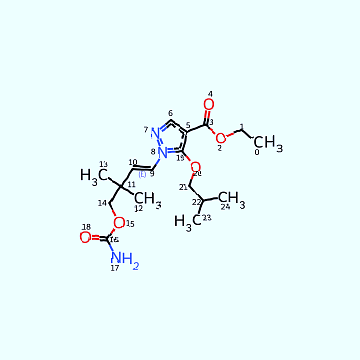 CCOC(=O)c1cnn(/C=C/C(C)(C)COC(N)=O)c1OCC(C)C